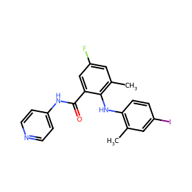 Cc1cc(I)ccc1Nc1c(C)cc(F)cc1C(=O)Nc1ccncc1